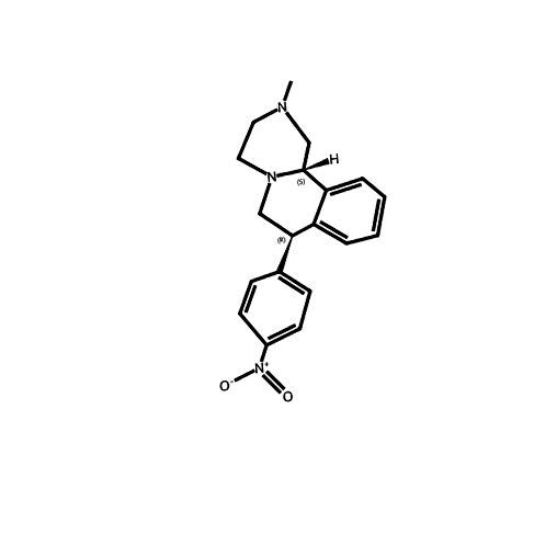 CN1CCN2C[C@H](c3ccc([N+](=O)[O-])cc3)c3ccccc3[C@H]2C1